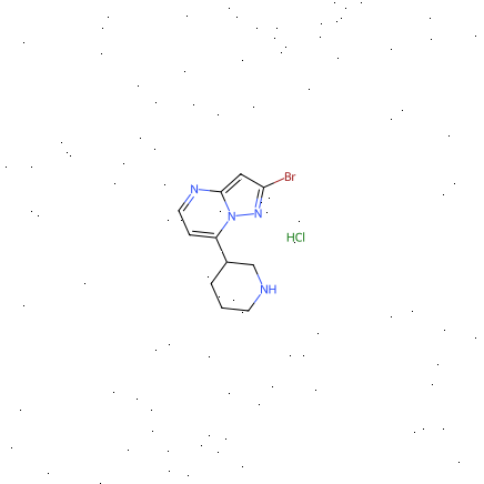 Brc1cc2nccc(C3CCCNC3)n2n1.Cl